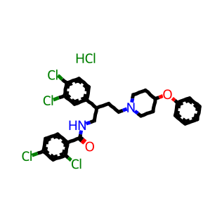 Cl.O=C(NCC(CCN1CCC(Oc2ccccc2)CC1)c1ccc(Cl)c(Cl)c1)c1ccc(Cl)cc1Cl